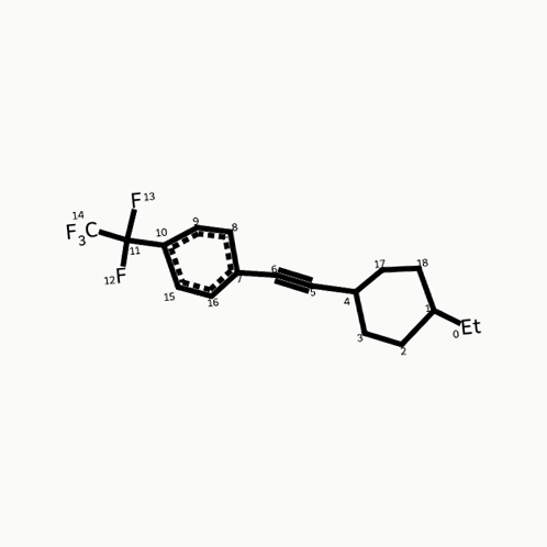 CCC1CCC(C#Cc2ccc(C(F)(F)C(F)(F)F)cc2)CC1